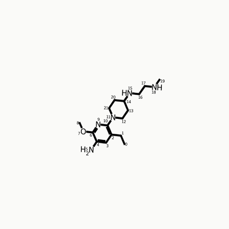 CCc1cc(N)c(OC)nc1N1CCC(NCCNC)CC1